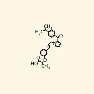 C=C(C)c1ccc(C(=O)c2cccn2C/C=C/c2cccc(O[C@@H](C)C(=O)O)c2)cc1